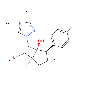 C[C@@]1(CBr)CC[C@H](c2ccc(F)cc2)[C@@]1(O)Cn1cncn1